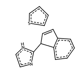 C1=CC(c2ncc[nH]2)c2ccccc21.c1ccsc1